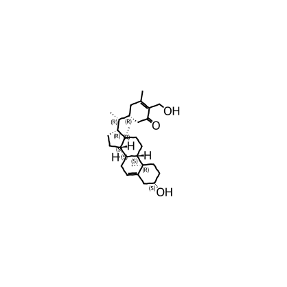 CC1=C(CO)C(=O)C[C@H]([C@@H](C)[C@H]2CC[C@H]3[C@@H]4CC=C5C[C@@H](O)CC[C@]5(C)[C@H]4CC[C@]23C)C1